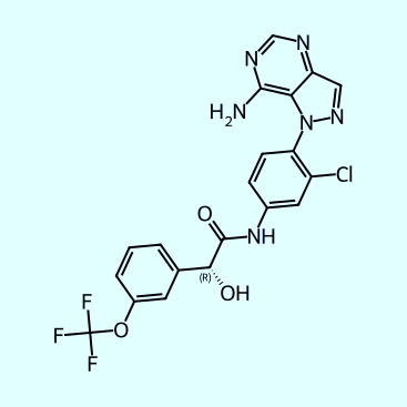 Nc1ncnc2cnn(-c3ccc(NC(=O)[C@H](O)c4cccc(OC(F)(F)F)c4)cc3Cl)c12